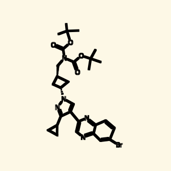 CC(C)(C)OC(=O)N(C[C@H]1C[C@H](n2cc(-c3cnc4cc(Br)ccc4n3)c(C3CC3)n2)C1)C(=O)OC(C)(C)C